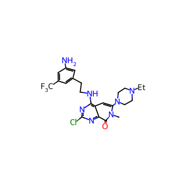 CCN1CCN(c2cc3c(NCCc4cc(N)cc(C(F)(F)F)c4)nc(Cl)nc3c(=O)n2C)CC1